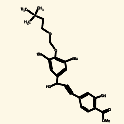 COC(=O)c1ccc(C#CC(O)c2cc(C(C)(C)C)c(OCOCC[Si](C)(C)C)c(C(C)(C)C)c2)cc1O